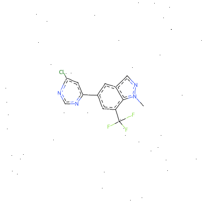 Cn1ncc2cc(-c3cc(Cl)ncn3)cc(C(F)(F)F)c21